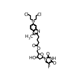 Cn1c(CCCC(=O)OCC2O[C@@H](n3cc(F)c(=O)[nH]c3=O)C[C@H]2O)nc2cc(N(CCCl)CCCl)ccc21